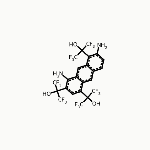 Nc1ccc2cc3c(C(O)(C(F)(F)F)C(F)(F)F)cc(C(O)(C(F)(F)F)C(F)(F)F)c(N)c3cc2c1C(O)(C(F)(F)F)C(F)(F)F